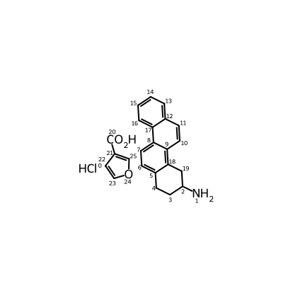 Cl.NC1CCc2ccc3c(ccc4ccccc43)c2C1.O=C(O)c1ccoc1